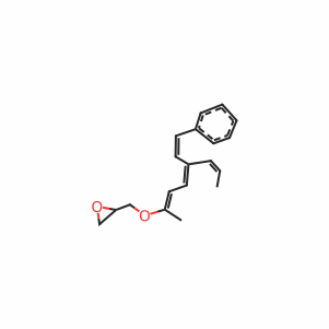 C\C=C/C(/C=C\c1ccccc1)=C/C=C(\C)OCC1CO1